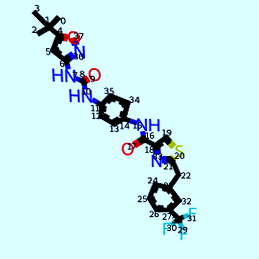 CC(C)(C)c1cc(NC(=O)Nc2ccc(NC(=O)c3csc(Cc4cccc(C(F)(F)F)c4)n3)cc2)no1